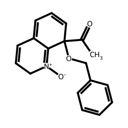 CC(=O)C1(OCc2ccccc2)C=CC=C2C=CC[N+]([O-])=C21